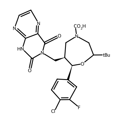 CC(C)(C)C1CN(C(=O)O)C[C@H](Cn2c(=O)[nH]c3nccnc3c2=O)[C@H](c2ccc(Cl)c(F)c2)O1